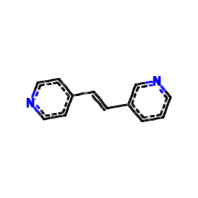 C(=Cc1cccnc1)c1ccncc1